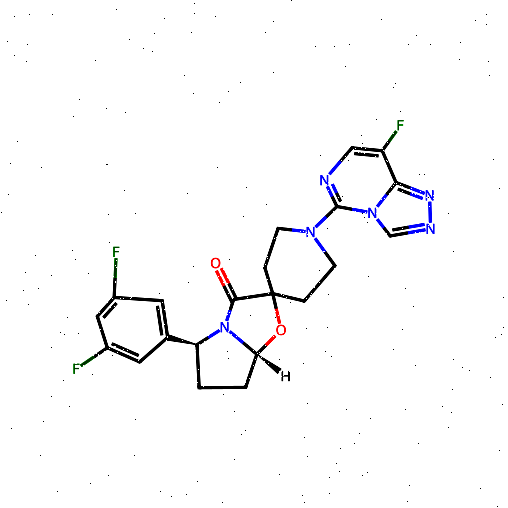 O=C1N2[C@@H](CC[C@H]2c2cc(F)cc(F)c2)OC12CCN(c1ncc(F)c3nncn13)CC2